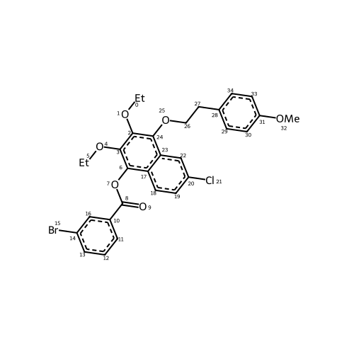 CCOc1c(OCC)c(OC(=O)c2cccc(Br)c2)c2ccc(Cl)cc2c1OCCc1ccc(OC)cc1